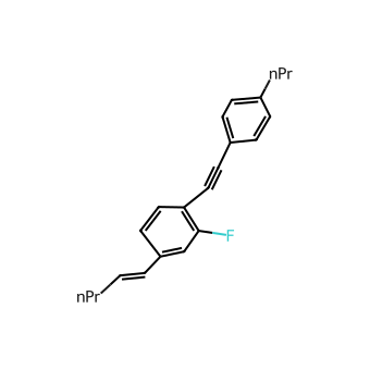 CCCC=Cc1ccc(C#Cc2ccc(CCC)cc2)c(F)c1